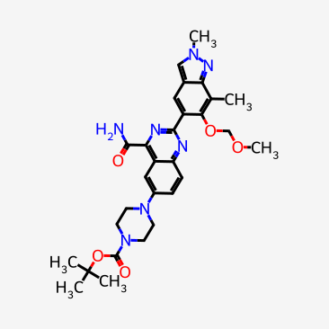 COCOc1c(-c2nc(C(N)=O)c3cc(N4CCN(C(=O)OC(C)(C)C)CC4)ccc3n2)cc2cn(C)nc2c1C